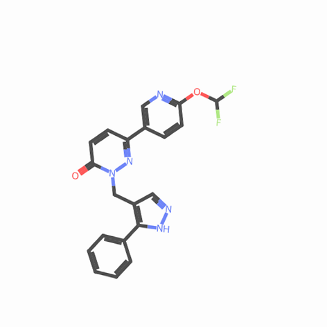 O=c1ccc(-c2ccc(OC(F)F)nc2)nn1Cc1cn[nH]c1-c1ccccc1